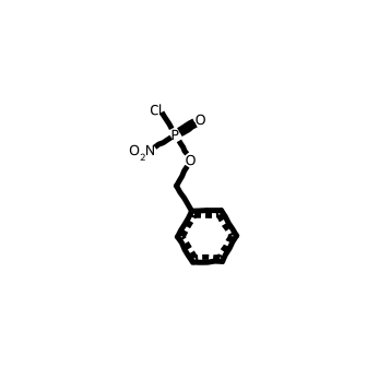 O=[N+]([O-])P(=O)(Cl)OCc1ccccc1